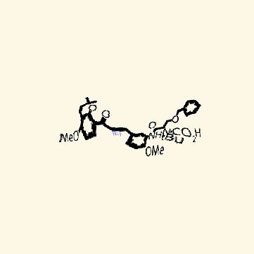 COc1ccc(/C=C/C(=O)c2ccc(OC)c3c2OC(C)(C)C=C3)cc1NC(=O)C(COCc1ccccc1)N(C(=O)O)C(C)(C)C